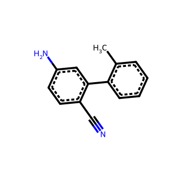 Cc1ccccc1-c1cc(N)ccc1C#N